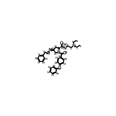 CCN(CC)CCNC(=O)[C@@H]1CC(=NOCc2ccccc2)CN1C(=O)c1ccc(Oc2ccccc2)cc1